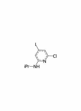 CC(C)Nc1cc(I)cc(Cl)n1